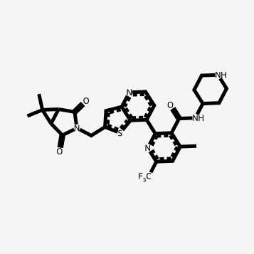 Cc1cc(C(F)(F)F)nc(-c2ccnc3cc(CN4C(=O)C5C(C4=O)C5(C)C)sc23)c1C(=O)NC1CCNCC1